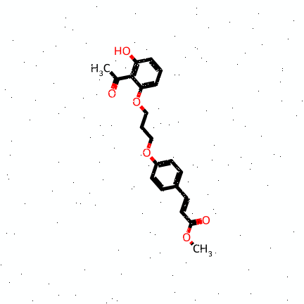 COC(=O)C=Cc1ccc(OCCCOc2cccc(O)c2C(C)=O)cc1